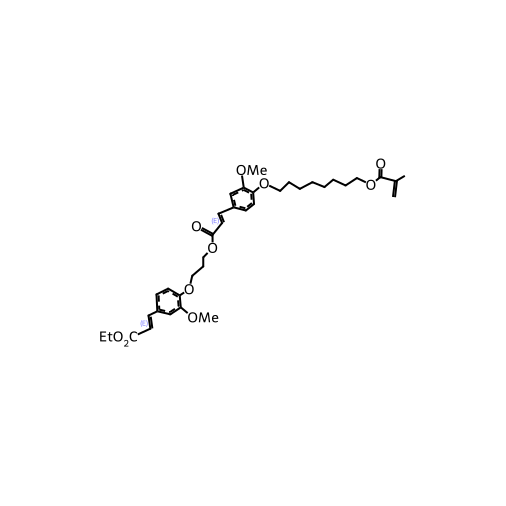 C=C(C)C(=O)OCCCCCCCCOc1ccc(/C=C/C(=O)OCCCOc2ccc(/C=C/C(=O)OCC)cc2OC)cc1OC